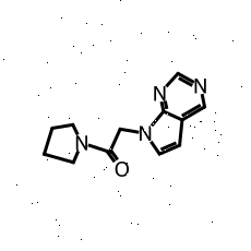 O=C(Cn1ccc2cncnc21)N1CCCC1